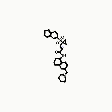 O=C(/C=C/C1(S(=O)(=O)c2ccc3ccccc3c2)CC1)NC1CCCc2cc(CN3CCCCC3)ccc21